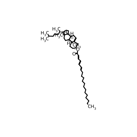 CCCCCCCCCCCCCC=CC=CC=CC(=O)O[C@H]1CC[C@@]2(C)C(=CC[C@H]3[C@@H]4CC[C@H](C(C)CCCC(C)C)[C@@]4(C)CC[C@@H]32)C1